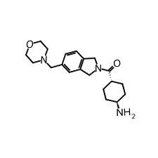 N[C@H]1CC[C@H](C(=O)N2Cc3ccc(CN4CCOCC4)cc3C2)CC1